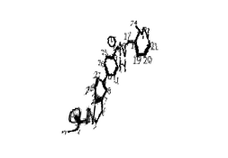 CCC(=O)N1CCc2cc(-c3ccc(C(=O)NCc4cccnc4C)cc3)ccc21